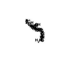 Cc1ncsc1-c1ccc([C@H](C)NC(=O)[C@@H]2C[C@@H](O)CN2C(=O)[C@@H](NC(=O)CN2CCC(CN3CCN(c4ccc(C(N)=O)cn4)CC3)CC2)C(C)(C)C)cc1